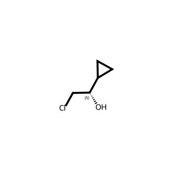 O[C@H](CCl)C1CC1